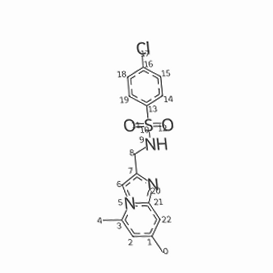 Cc1cc(C)n2cc(CNS(=O)(=O)c3ccc(Cl)cc3)nc2c1